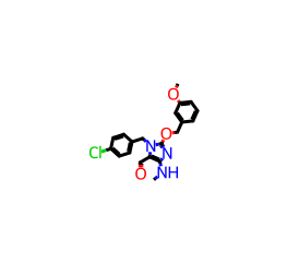 CNc1nc(OCc2cccc(OC)c2)n(Cc2ccc(Cl)cc2)c1C=O